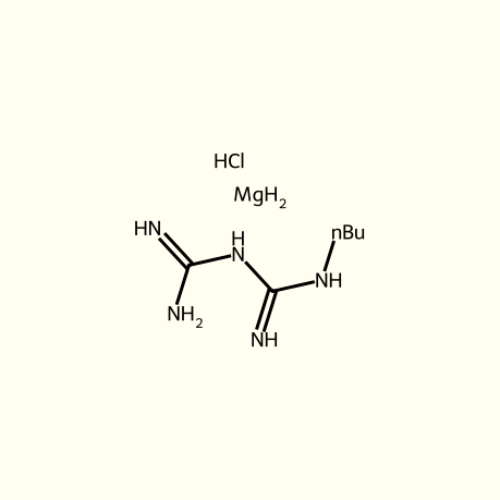 CCCCNC(=N)NC(=N)N.Cl.[MgH2]